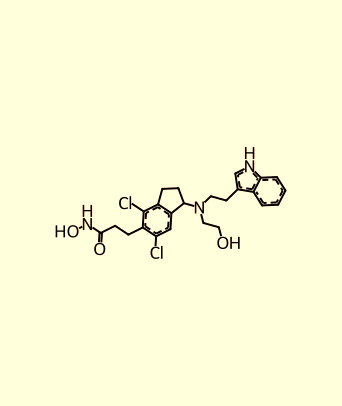 O=C(CCc1c(Cl)cc2c(c1Cl)CCC2N(CCO)CCc1c[nH]c2ccccc12)NO